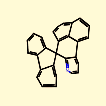 c1ccc2c(c1)-c1ccccc1C21c2ncccc2-c2cccc3cccc1c23